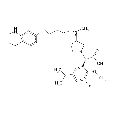 COc1c(F)cc(C(C)C)cc1[C@H](C(=O)O)N1CC[C@@H](N(C)CCCCCc2ccc3c(n2)NCCC3)C1